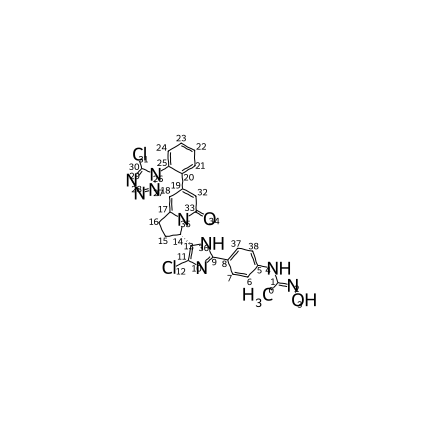 C/C(=N\O)Nc1ccc(-c2nc(Cl)c([C@@H]3CCc4cc(-c5ccccc5-n5nnnc5Cl)cc(=O)n43)[nH]2)cc1